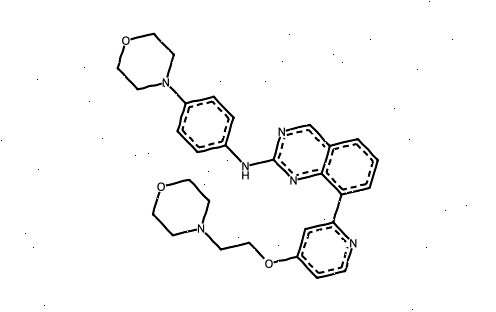 c1cc(-c2cc(OCCN3CCOCC3)ccn2)c2nc(Nc3ccc(N4CCOCC4)cc3)ncc2c1